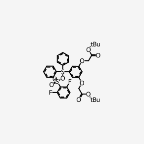 CC(C)(C)OC(=O)COc1cc(OCC(=O)OC(C)(C)C)cc(S(OS(=O)(=O)c2c(F)cccc2F)(c2ccccc2)c2ccccc2)c1